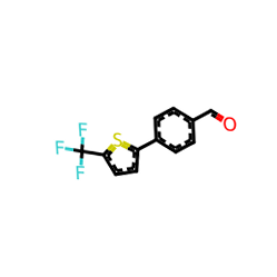 O=Cc1ccc(-c2ccc(C(F)(F)F)s2)cc1